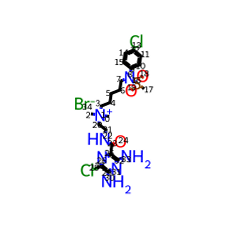 C[N+](C)(CCCCCN(c1ccc(Cl)cc1)S(C)(=O)=O)CCNC(=O)c1nc(Cl)c(N)nc1N.[Br-]